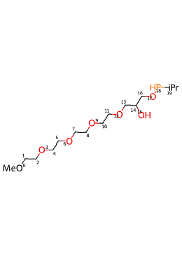 COCCOCCOCCOCCOCC(O)COPC(C)C